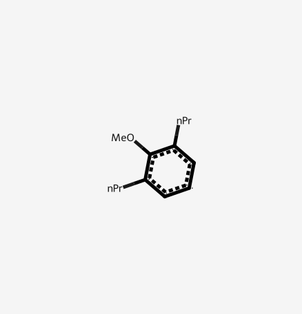 CCCc1c[c]cc(CCC)c1OC